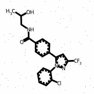 CC(O)CNC(=O)c1ccc(-c2cc(C(F)(F)F)nn2-c2ccccc2Cl)cc1